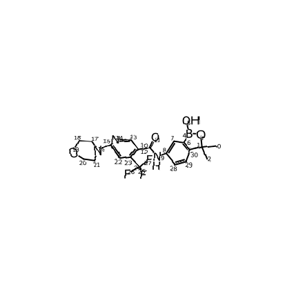 CC1(C)OB(O)c2cc(NC(=O)c3cnc(N4CCOCC4)cc3C(F)(F)F)ccc21